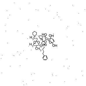 CCC(=O)OC(OP(=O)(CCCCc1ccccc1)CC(=O)N1C[C@H](C2CCCCC2)C[C@H]1C(=O)O)C(C)C.O=C(O)/C=C\C(=O)O